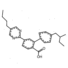 CCCCc1cnc(-c2ccc(C(=O)O)c(-c3ccc(CC(C)CC)cc3)c2)nc1